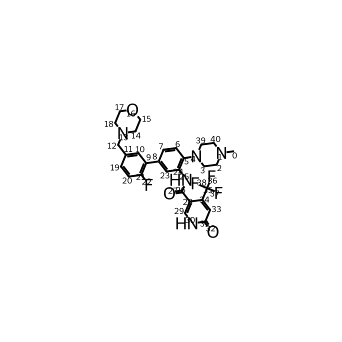 CN1CCN(c2ccc(-c3cc(CN4CCOCC4)ccc3F)cc2NC(=O)c2c[nH]c(=O)cc2C(F)(F)F)CC1